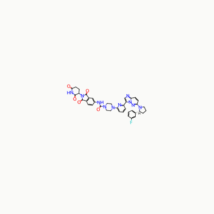 O=C1CCC(N2C(=O)c3ccc(NC(=O)N4CCN(c5cccc(-c6cnc7ccc(N8CCC[C@@H]8c8cccc(F)c8)nn67)n5)CC4)cc3C2=O)C(=O)N1